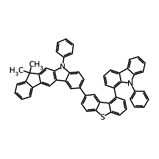 CC1(C)c2ccccc2-c2cc3c4cc(-c5ccc6sc7cccc(-c8cccc9c%10ccccc%10n(-c%10ccccc%10)c89)c7c6c5)ccc4n(-c4ccccc4)c3cc21